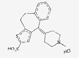 CN1CCC(=C2c3ccccc3CCc3sc(C(=O)O)cc32)CC1.Cl